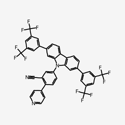 N#Cc1cc(-n2c3cc(-c4cc(C(F)(F)F)cc(C(F)(F)F)c4)ccc3c3ccc(-c4cc(C(F)(F)F)cc(C(F)(F)F)c4)cc32)ccc1-c1ccncc1